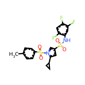 Cc1ccc(S(=O)(=O)n2cc(S(=O)(=O)Nc3cc(F)c(F)cc3F)cc2C2CC2)cc1